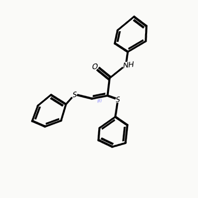 O=C(Nc1ccccc1)/C(=C\Sc1ccccc1)Sc1ccccc1